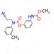 COC(=O)Nc1cccc(OC(=O)N(CCC#N)c2cccc(C)c2)c1